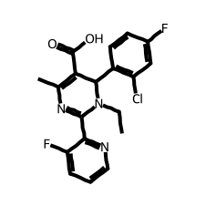 CCN1C(c2ncccc2F)=NC(C)=C(C(=O)O)C1c1ccc(F)cc1Cl